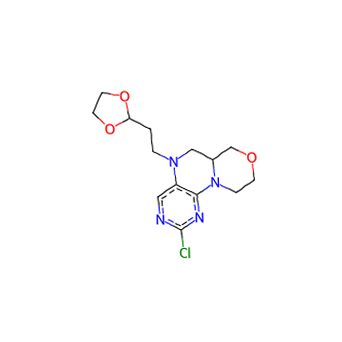 Clc1ncc2c(n1)N1CCOCC1CN2CCC1OCCO1